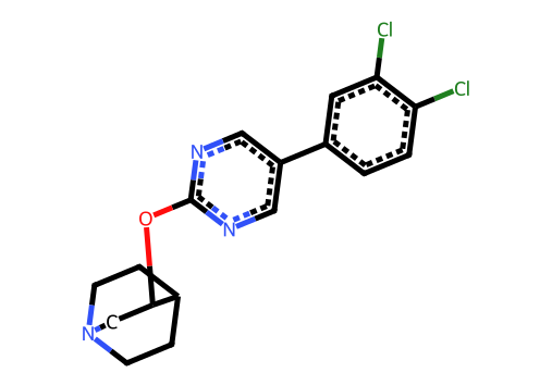 Clc1ccc(-c2cnc(OC3CN4CCC3CC4)nc2)cc1Cl